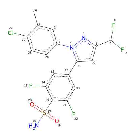 Cc1cc(-n2nc(C(F)F)cc2-c2cc(F)c(S(N)(=O)=O)c(F)c2)ccc1Cl